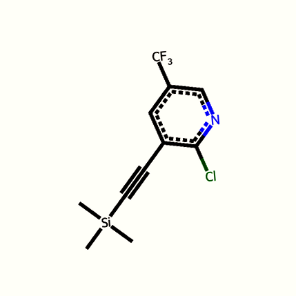 C[Si](C)(C)C#Cc1cc(C(F)(F)F)cnc1Cl